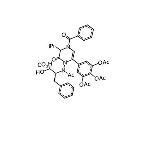 CC(=O)Oc1cc(C2=CN(C(=O)c3ccccc3)C(C(C)C)C(=O)N2N(C(C)=O)[C@@H](Cc2ccccc2)C(O)C(=O)O)cc(OC(C)=O)c1OC(C)=O